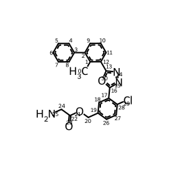 Cc1c(-c2ccccc2)cccc1-c1nnc(-c2cc(COC(=O)CN)ccc2Cl)o1